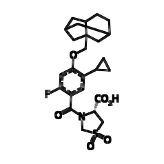 O=C(O)[C@@H]1CS(=O)(=O)CN1C(=O)c1cc(C2CC2)c(OCC23CC4CCC2CC(C4)C3)cc1F